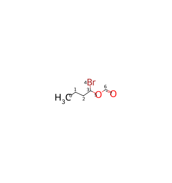 CCCC(Br)OC=O